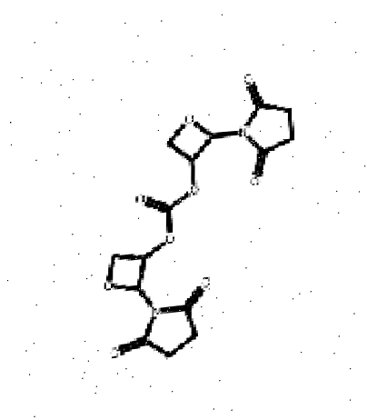 O=C(OC1COC1N1C(=O)CCC1=O)OC1COC1N1C(=O)CCC1=O